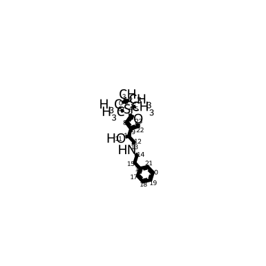 CC(C)(C)[Si](C)(C)c1cc(C(O)CNCCc2ccccc2)co1